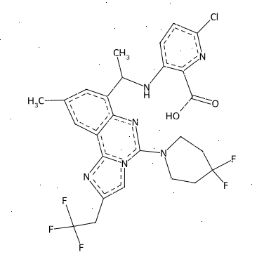 Cc1cc(C(C)Nc2ccc(Cl)nc2C(=O)O)c2nc(N3CCC(F)(F)CC3)n3cc(CC(F)(F)F)nc3c2c1